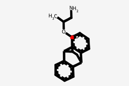 CC(CN)OC(=O)C1CC2c3ccccc3C1c1ccccc12